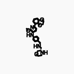 COc1nc(-c2cccc3c2OCCO3)ccc1Nc1ccc(CNC[C@H]2COCCN2)cc1